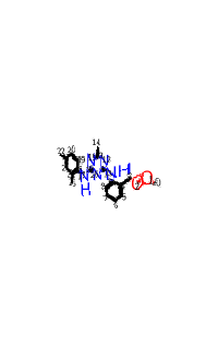 COOCc1ccccc1Nc1nc(C)nc(Nc2ccc(C)cc2C)n1